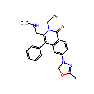 CC1=NN(c2ccc3c(=O)n(CC(C)C)c(CNC(=O)O)c(-c4ccccc4)c3c2)CO1